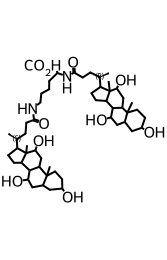 C[C@H](CCC(=O)NC(CCCCNC(=O)CC[C@H](C)C1CCC2C3C(O)CC4CC(O)CCC4(C)C3CC(O)C21C)C(=O)O)C1CCC2C3C(O)CC4CC(O)CCC4(C)C3CC(O)C21C